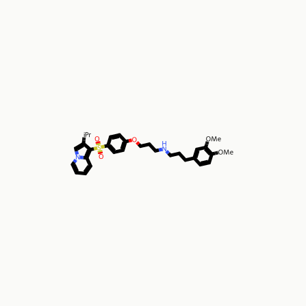 COc1ccc(CCCNCCCOc2ccc(S(=O)(=O)c3c(C(C)C)cn4ccccc34)cc2)cc1OC